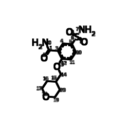 NC(=O)c1cc(S(N)(=O)=O)ccc1OCC1CCOCC1